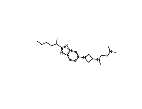 CCCCC(C)c1nc2ccc(N3CC(N(C)CCN(C)C)C3)cn2n1